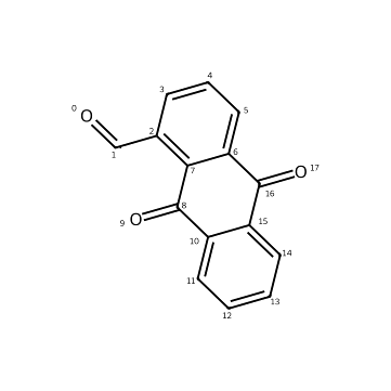 O=[C]c1cccc2c1C(=O)c1ccccc1C2=O